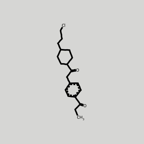 CCC(=O)c1ccc(CC(=O)C2CCC(CCCCl)CC2)cc1